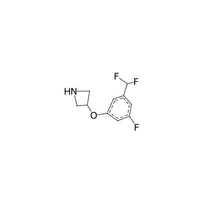 Fc1cc(OC2CNC2)cc(C(F)F)c1